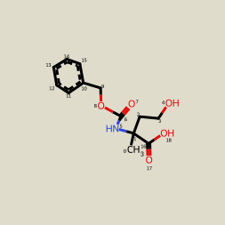 CC(CCO)(NC(=O)OCc1ccccc1)C(=O)O